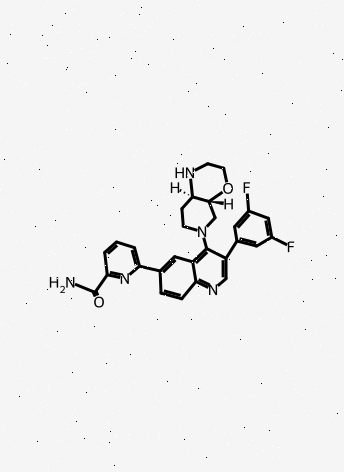 NC(=O)c1cccc(-c2ccc3ncc(-c4cc(F)cc(F)c4)c(N4CC[C@H]5NCCO[C@@H]5C4)c3c2)n1